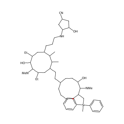 CCC1CC(CCCNC2CC(C#N)CC2O)C(C)C(C)C(CCC2CCCCC(C[Si](C)(c3ccccc3)c3ccccc3)C(NC)C(O)CC2)CC(CC)C(NC)C1O